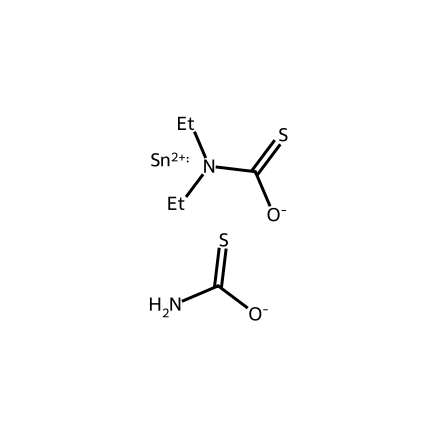 CCN(CC)C([O-])=S.NC([O-])=S.[Sn+2]